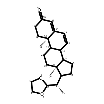 C[C@H](C1OCCO1)C1CCC2C3C=CC4=CC(=O)CC[C@]4(C)C3CC[C@@]21C